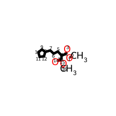 COC(=O)C(CCCC1CCCC1)C(=O)OC